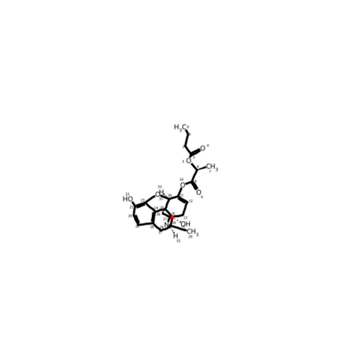 CCCC(=O)O[C@@H](C)C(=O)OC1=CC[C@@]2(O)[C@H]3Cc4ccc(O)c5c4[C@@]2(CCN3C)[C@H]1O5